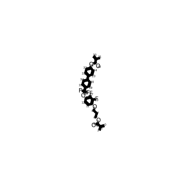 C=C(C)C(=O)OCCCOc1ccc(OC(F)(F)c2ccc(-c3ccc(OC(=O)C(=C)C)cc3)cc2)c(F)c1F